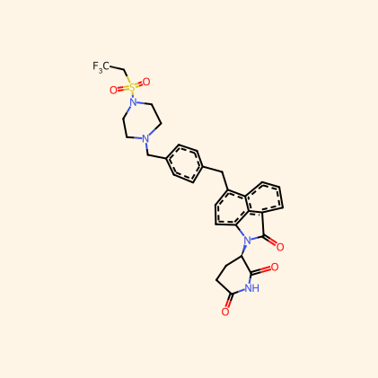 O=C1CC[C@@H](N2C(=O)c3cccc4c(Cc5ccc(CN6CCN(S(=O)(=O)CC(F)(F)F)CC6)cc5)ccc2c34)C(=O)N1